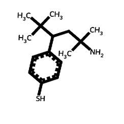 CC(C)(N)CC(c1ccc(S)cc1)C(C)(C)C